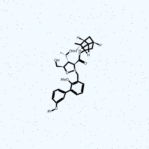 COc1c(CN2O[C@@H](CO)[C@H]([C@H](C)O)[C@H]2C(=O)N[C@H]2C[C@H]3C[C@@H]([C@@H]2C)C3(C)C)cccc1-c1cccc(OC(C)C)c1